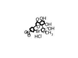 CN1CC[C@@H](c2c(O)cc(O)c3c(=O)cc(-c4ccc([N+](=O)[O-])cc4Br)oc23)[C@@H]1CO.Cl